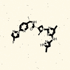 Cc1cc(Nc2cc(C)[nH]n2)nc(N2C[C@@H](C(=O)N[C@@H](C)c3ccc(-n4cc(F)cn4)nc3)[C@@H]2C)n1